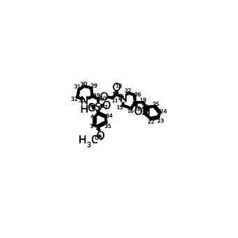 COc1ccc(S(=O)(=O)C(OCC(=O)N2CCC(O)(Cc3ccccc3)CC2)C2CCCCN2)cc1